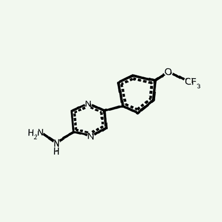 NNc1cnc(-c2ccc(OC(F)(F)F)cc2)cn1